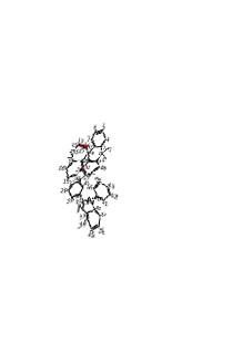 CC1(C)c2ccccc2C2(c3ccccc3Sc3ccccc32)c2cc(-c3cccc(-c4nc5ccccc5n4-c4ccccc4)c3)ccc21